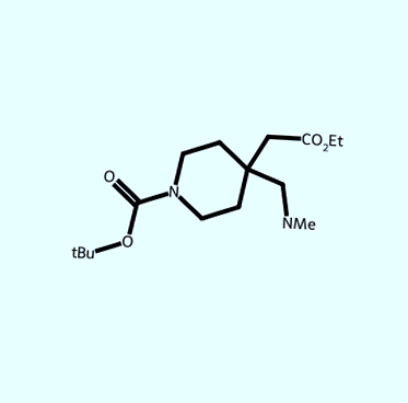 CCOC(=O)CC1(CNC)CCN(C(=O)OC(C)(C)C)CC1